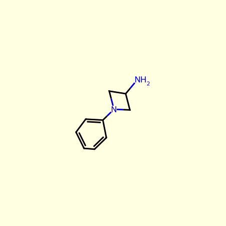 NC1CN(c2ccccc2)C1